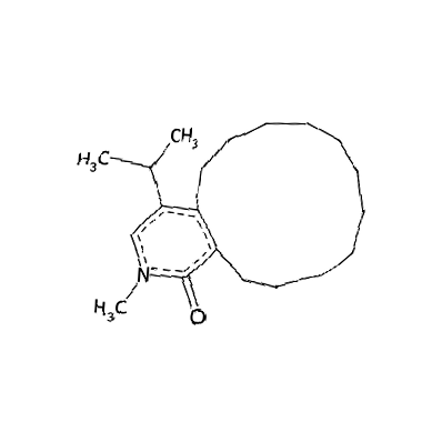 CC(C)c1cn(C)c(=O)c2c1CCCCCCCCCCC2